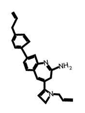 C=CCc1ccc(-c2ccc3c(c2)N=C(N)CC(C2=CCN2CC=C)=C3)cc1